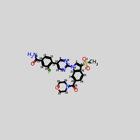 CS(=O)(=O)c1cn(-c2ncc(-c3ccc(C(N)=O)cc3F)cn2)c2cc(C(=O)N3CCOCC3)ccc12